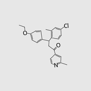 CCOc1ccc(C(CC(=O)c2ccnc(C)c2)c2ccc(Cl)cc2C)cc1